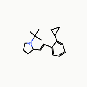 CC(C)(C)N1CCCC1/C=C/c1ccccc1C1CC1